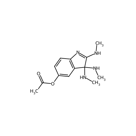 CNC1=Nc2ccc(OC(C)=O)cc2C1(NC)NC